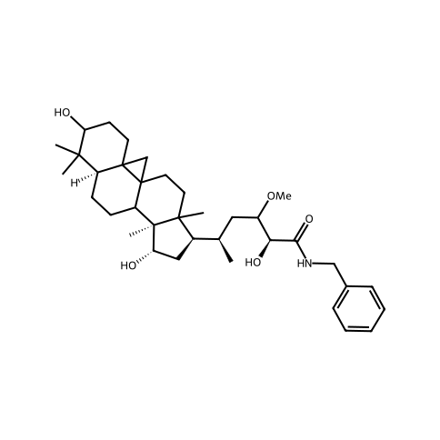 COC(C[C@@H](C)[C@H]1C[C@H](O)[C@@]2(C)C3CC[C@H]4C(C)(C)C(O)CCC45CC35CCC12C)[C@H](O)C(=O)NCc1ccccc1